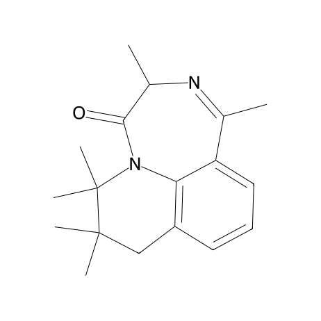 CC1=NC(C)C(=O)N2c3c(cccc31)CC(C)(C)C2(C)C